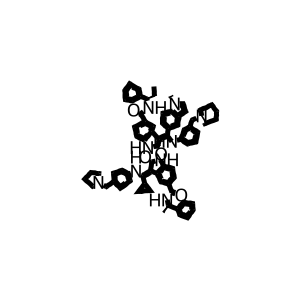 CC[C@@H](NC(=O)c1ccc2c(c1)/C(=C(/Nc1cccc(CN3CCCCC3)c1)c1ccc3c(ccn3C)c1)C(=O)N2)c1ccccc1.C[C@@H](NC(=O)c1ccc2c(c1)/C(=C(/Nc1ccc(CN3CCCC3)cc1)C1CC1)C(=O)N2)c1ccccc1